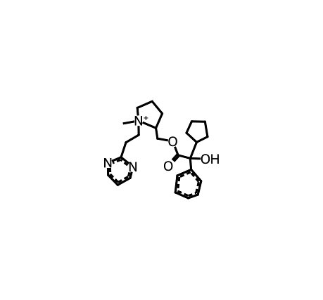 C[N+]1(CCc2ncccn2)CCCC1COC(=O)C(O)(c1ccccc1)C1CCCC1